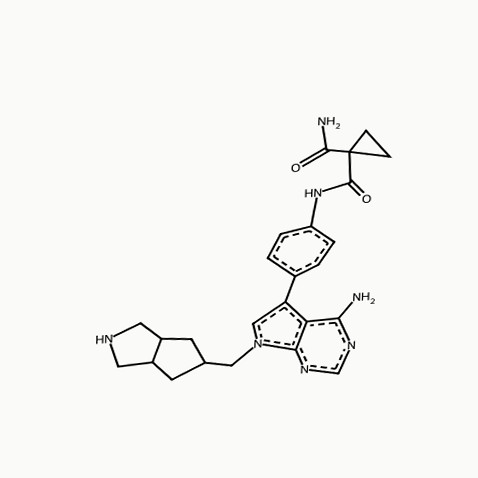 NC(=O)C1(C(=O)Nc2ccc(-c3cn(CC4CC5CNCC5C4)c4ncnc(N)c34)cc2)CC1